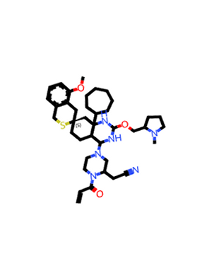 C=CC(=O)N1CCN(C2NC(OCC3CCCN3C)NC3(C4CCCCCC4)C[C@]4(CCC23)Cc2c(cccc2OC)CS4)CC1CC#N